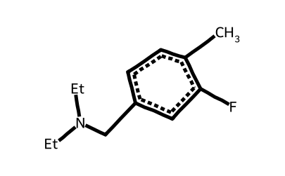 CCN(CC)Cc1ccc(C)c(F)c1